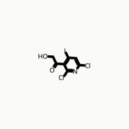 O=C(CO)c1c(I)cc(Cl)nc1Cl